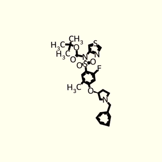 Cc1cc(S(=O)(=O)N(C(=O)OC(C)(C)C)c2cscn2)c(F)cc1O[C@H]1CCN(Cc2ccccc2)C1